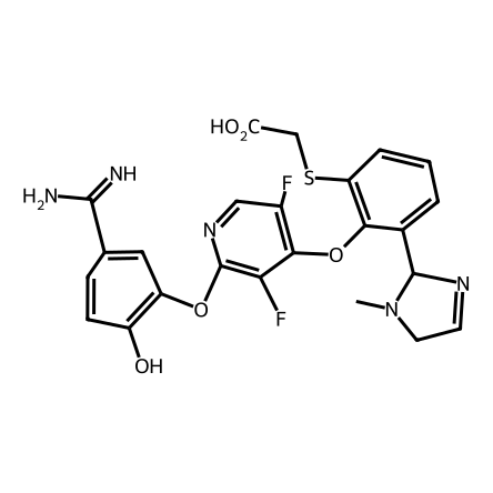 CN1CC=NC1c1cccc(SCC(=O)O)c1Oc1c(F)cnc(Oc2cc(C(=N)N)ccc2O)c1F